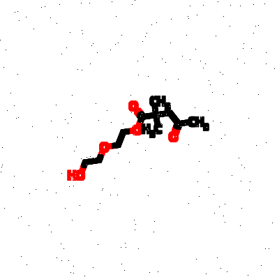 CC(=O)CC(C)(C)C(=O)OCCOCCO